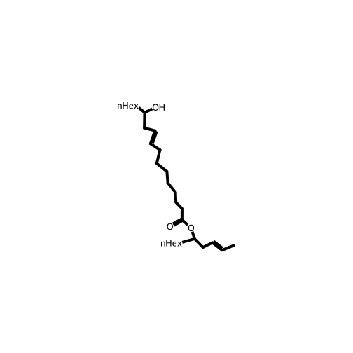 C/C=C/CC(CCCCCC)OC(=O)CCCCCCC/C=C/CC(O)CCCCCC